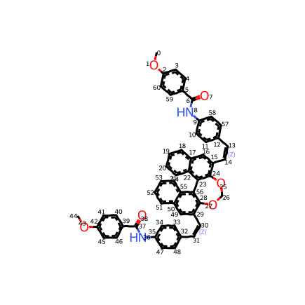 COc1ccc(C(=O)Nc2ccc(/C=C\c3cc4ccccc4c4c3OCOc3c(/C=C\c5ccc(NC(=O)c6ccc(OC)cc6)cc5)cc5ccccc5c3-4)cc2)cc1